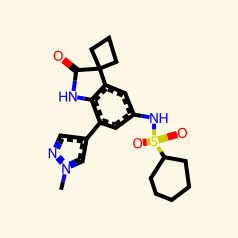 Cn1cc(-c2cc(NS(=O)(=O)C3CCCCC3)cc3c2NC(=O)C32CCC2)cn1